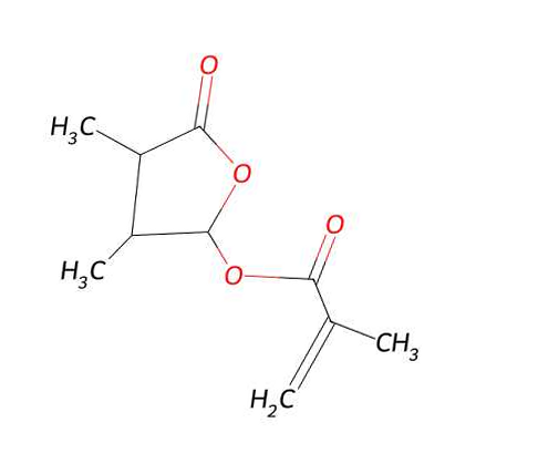 C=C(C)C(=O)OC1OC(=O)C(C)C1C